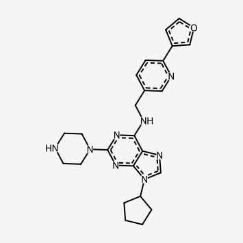 c1cc(-c2ccc(CNc3nc(N4CCNCC4)nc4c3ncn4C3CCCC3)cn2)co1